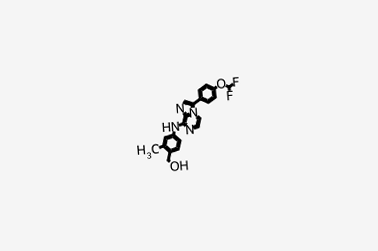 Cc1cc(Nc2nccn3c(-c4ccc(OC(F)F)cc4)cnc23)ccc1CO